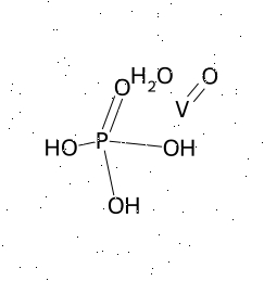 O.O=P(O)(O)O.[O]=[V]